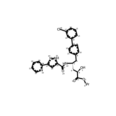 CC(C)OC(=O)[C@H](O)C[C@@H](Cc1ccc(-c2cccc(Cl)c2)cc1)NC(=O)c1cc(-c2ccccn2)n[nH]1